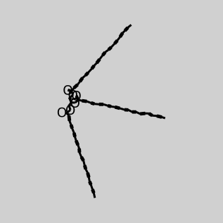 CC#CC#CC#CC#CC#CC#CC#CC#CC#CC#CC(=O)OCC(COC(=O)C#CC#CC#CC#CC#CC#CC#CC#CC#CC#CC)OC(=O)C#CC#CC#CC#CC#CC#CC#CC#CC#CC#CC